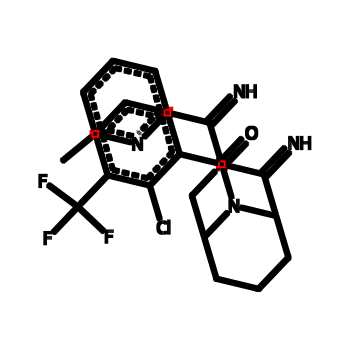 Cc1cccc(C(=N)N2CC3CCCC(C2=N)N3C(=O)c2cccc(C(F)(F)F)c2Cl)n1